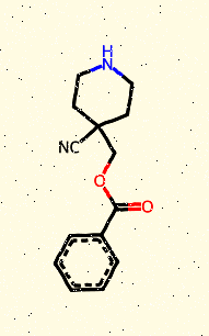 N#CC1(COC(=O)c2ccccc2)CCNCC1